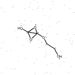 OCCOC12OC1(O)O2